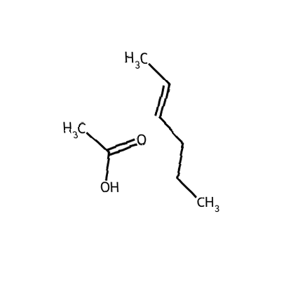 CC(=O)O.CC=CCCC